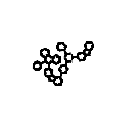 c1ccc(-c2nc(-c3ccc(-c4cccc5oc6ccc(-c7c(-c8ccccc8)c8ccccc8c8ccccc78)cc6c45)cc3)nc(-c3ccc4sc5ccccc5c4c3)n2)cc1